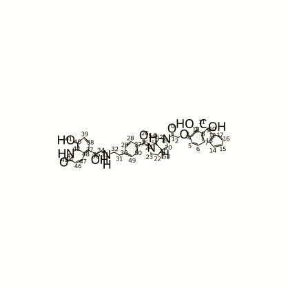 O=C(COc1cccc([C@](O)(C(=O)O)c2ccccc2)c1)N1C[C@@H]2CCN(C(=O)c3ccc(CCNC[C@H](O)c4ccc(O)c5[nH]c(=O)ccc45)cc3)[C@@H]2C1